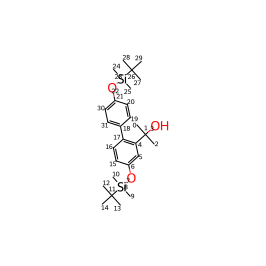 CC(C)(O)c1cc(O[Si](C)(C)C(C)(C)C)ccc1-c1ccc(O[Si](C)(C)C(C)(C)C)cc1